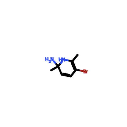 CC1=C(Br)C=CC(C)(N)N1